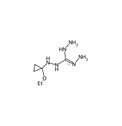 CCOC1(NN/C(=N/N)NN)CC1